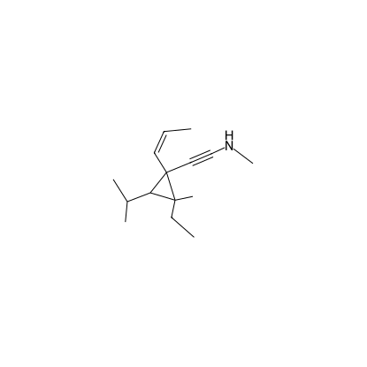 C/C=C\C1(C#CNC)C(C(C)C)C1(C)CC